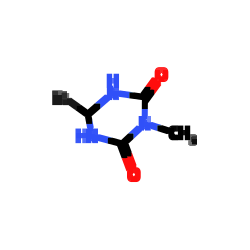 CCC1NC(=O)N(C)C(=O)N1